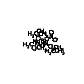 Cc1cccc(C)c1-c1nc2cc(C(C)(C)C)cc3c2n1-c1cccc2c1B3c1ccc(N(c3ccccc3)c3ccccc3)cc1N2c1ccc(C(C)(C)C)cc1